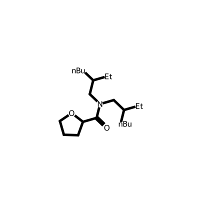 CCCCC(CC)CN(CC(CC)CCCC)C(=O)C1CCCO1